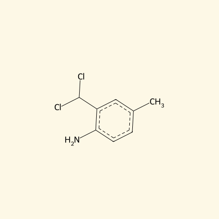 Cc1ccc(N)c(C(Cl)Cl)c1